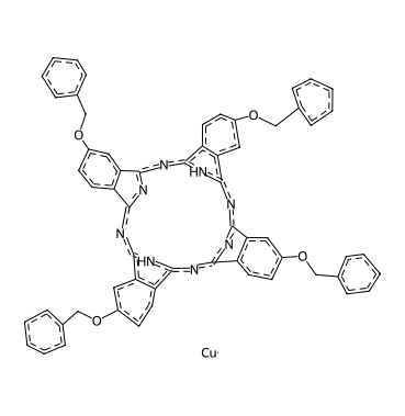 [Cu].c1ccc(COc2ccc3c(c2)-c2nc-3nc3[nH]c(nc4nc(nc5[nH]c(n2)c2ccc(OCc6ccccc6)cc52)-c2cc(OCc5ccccc5)ccc2-4)c2ccc(OCc4ccccc4)cc32)cc1